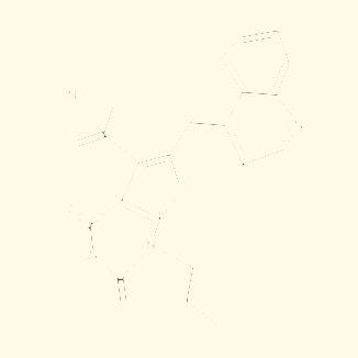 CCCn1c(=O)n(C)c(=O)c2c(C(=O)O)c(Cc3ccnc4ccccc34)sc21.[NaH]